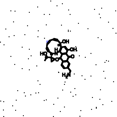 C[C@@H](O)C1([C@@H]2C#C/C=C\C#C[C@H](O)c3cc(O)c4c(c3N2)C(=O)c2ccc(CN)cc2C4=O)CC1